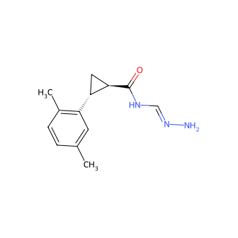 Cc1ccc(C)c([C@@H]2C[C@H]2C(=O)NC=NN)c1